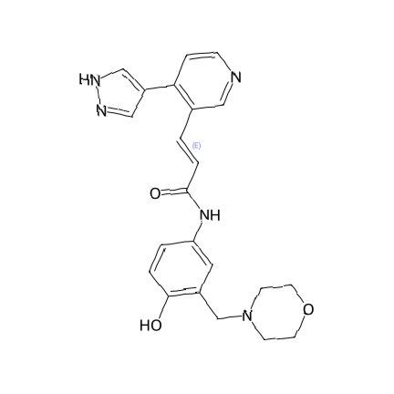 O=C(/C=C/c1cnccc1-c1cn[nH]c1)Nc1ccc(O)c(CN2CCOCC2)c1